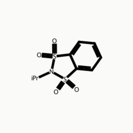 CC(C)N1S(=O)(=O)c2ccccc2S1(=O)=O